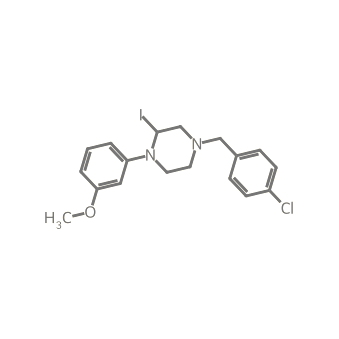 COc1cccc(N2CCN(Cc3ccc(Cl)cc3)CC2I)c1